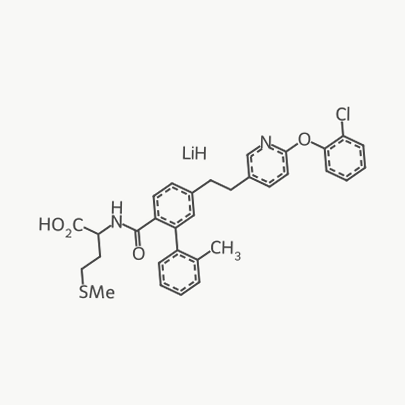 CSCCC(NC(=O)c1ccc(CCc2ccc(Oc3ccccc3Cl)nc2)cc1-c1ccccc1C)C(=O)O.[LiH]